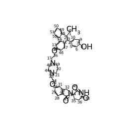 CCC(=C(c1ccc(O)cc1)c1ccc(OCCN2CCCN(CCOc3ccc4c(c3)CN(C3CCC(=O)NC3=O)C4=O)CC2)cc1)c1ccccc1